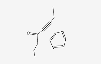 CCC#CC(=O)CCC.c1ccncc1